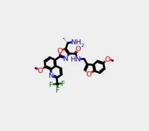 COc1ccc2occ(CNC(=O)c3nc(-c4ccc(OC)c5nc(C(F)(F)F)ccc45)oc3[C@H](C)N)c2c1